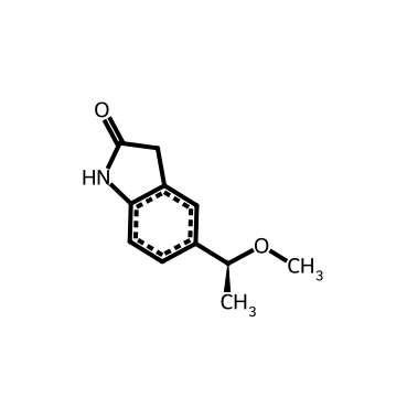 CO[C@@H](C)c1ccc2c(c1)CC(=O)N2